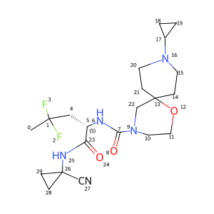 CC(F)(F)C[C@H](NC(=O)N1CCOC2(CCN(C3CC3)CC2)C1)C(=O)NC1(C#N)CC1